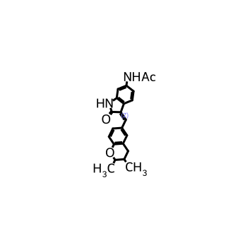 CC(=O)Nc1ccc2c(c1)NC(=O)/C2=C\c1ccc2c(c1)CC(C)C(C)O2